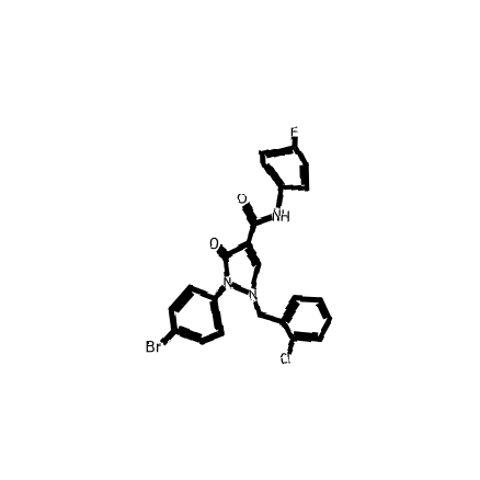 O=C(Nc1ccc(F)cc1)c1cn(Cc2ccccc2Cl)n(-c2ccc(Br)cc2)c1=O